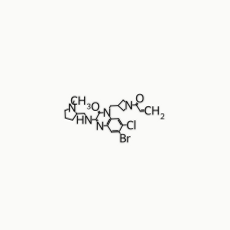 C=CC(=O)N1CC(Cn2c(=O)c(NCC3CCCN3C)nc3cc(Br)c(Cl)cc32)C1